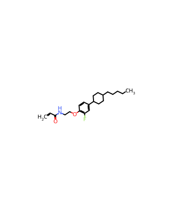 C=CC(=O)NCCOc1ccc(C2CCC(CCCCC)CC2)cc1F